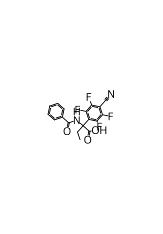 CCC(NC(=O)c1ccccc1)(C(=O)O)c1c(F)c(F)c(C#N)c(F)c1F